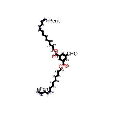 CCCCC/C=C\C/C=C\CCCCCCCCOC(=O)c1cc(C=O)cc(C(=O)OCCCCCCCC/C=C\C/C=C\CCCCC)c1